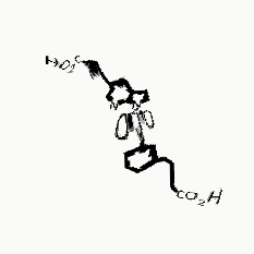 O=C(O)/C=C/c1cccc(S(=O)(=O)n2ccc3cc(/C=C/C(=O)O)cnc32)c1